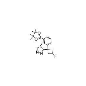 Cn1cnnc1C1(c2cccc(B3OC(C)(C)C(C)(C)O3)c2)CC(F)C1